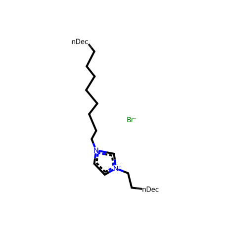 CCCCCCCCCCCCCCCCCCn1cc[n+](CCCCCCCCCCCC)c1.[Br-]